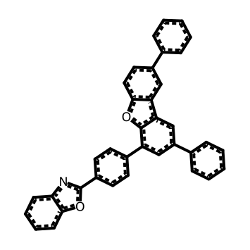 c1ccc(-c2ccc3oc4c(-c5ccc(-c6nc7ccccc7o6)cc5)cc(-c5ccccc5)cc4c3c2)cc1